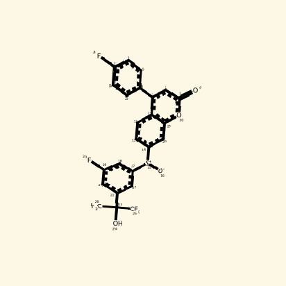 O=c1cc(-c2ccc(F)cc2)c2ccc([S+]([O-])c3cc(F)cc(C(O)(C(F)(F)F)C(F)(F)F)c3)cc2o1